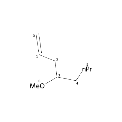 C=CCC(CCCC)OC